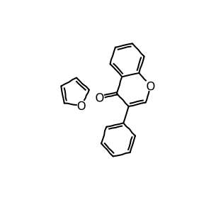 O=c1c(-c2ccccc2)coc2ccccc12.c1ccoc1